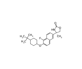 CC(C)(C)C1CCC(Oc2ccc3cc([C@]4(C)COC(=O)N4)ccc3c2F)CC1